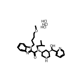 COCCCCn1c(C(=O)N(CC(C)C)[C@@H]2CNC[C@H](C(O)c3ccccn3)C2)nc2ccccc21.Cl.Cl.Cl